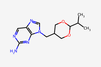 CC(C)C1OCC(Cn2cnc3cnc(N)nc32)CO1